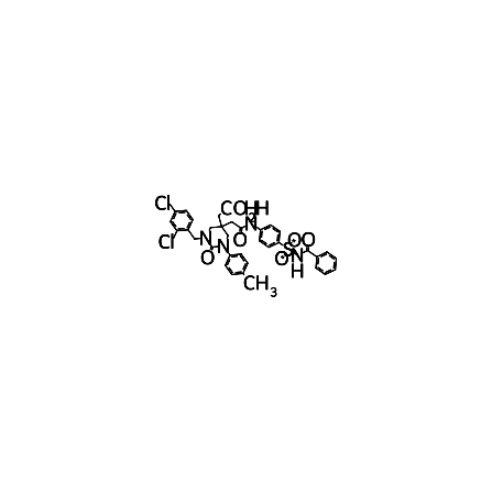 Cc1ccc(N2CC(CC(=O)O)(CC(=O)Nc3ccc(S(=O)(=O)NC(=O)c4ccccc4)cc3)CN(Cc3ccc(Cl)cc3Cl)C2=O)cc1